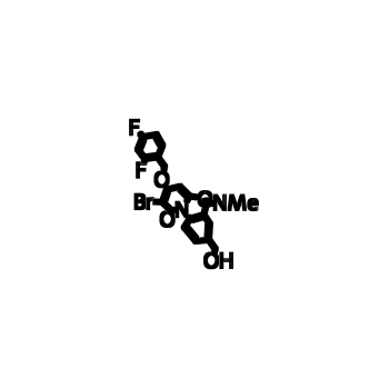 CNC(=O)c1cc(CO)ccc1-n1c(C)cc(OCc2ccc(F)cc2F)c(Br)c1=O